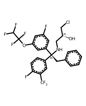 O[C@@H](CCl)CN[C@@](Cc1ccccc1)(c1cc(F)cc(OC(F)(F)C(F)F)c1)c1ccc(F)c(C(F)(F)F)c1